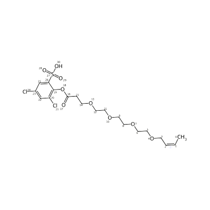 C/C=C\COCCOCCOCCOCCC(=O)Oc1c(Cl)cc(Cl)cc1S(=O)(=O)O